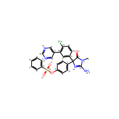 CN1C(=O)C(c2ccc(OS(=O)(=O)c3ccccc3)cc2)(c2ccc(F)c(-c3cncnc3)c2)N=C1N